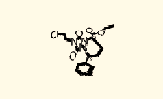 CCOC(=O)[C@@H]1C=C[C@@H](c2ccccc2)n2c(=O)n(CCCl)c(=O)n21